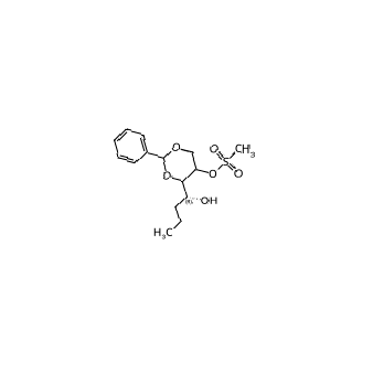 CCC[C@@H](O)C1OC(c2ccccc2)OCC1OS(C)(=O)=O